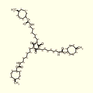 C=C1CSCC(OC(=O)NCCCCCCn2c(=O)n(CCCCCCNC(=O)OC3CSCC(=C)CSC3)c(=O)n(CCCCCCNC(=O)OC3CSCC(=C)CSC3)c2=O)CSC1